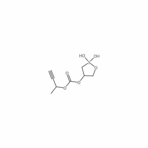 C#CC(C)OC(=O)OC1COS(O)(O)C1